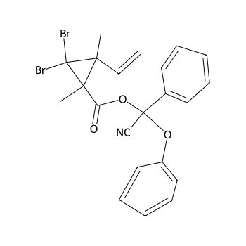 C=CC1(C)C(Br)(Br)C1(C)C(=O)OC(C#N)(Oc1ccccc1)c1ccccc1